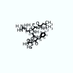 CC(C)C[C@H](N)C(=O)N[C@@H](C)C(=O)N[C@@H](CCCNC(=N)N)C(=O)N[C@@H](Cc1ccccc1)C(=O)N[C@@H](CS)C(=O)O